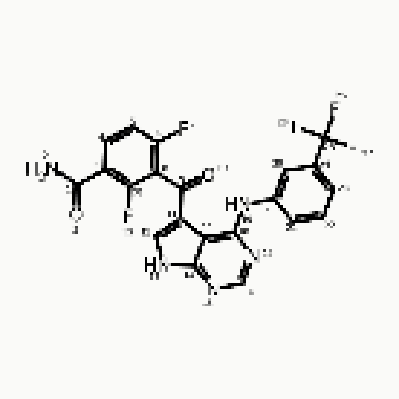 NC(=O)c1ccc(F)c(C(=O)c2c[nH]c3ncnc(Nc4cccc(C(F)(F)F)c4)c23)c1F